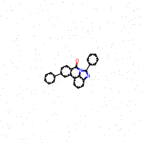 O=c1c2ccc(-c3ccccc3)cc2c2cccc3nc(-c4ccccc4)n1c32